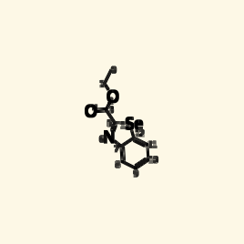 CCOC(=O)c1nc2ccccc2[se]1